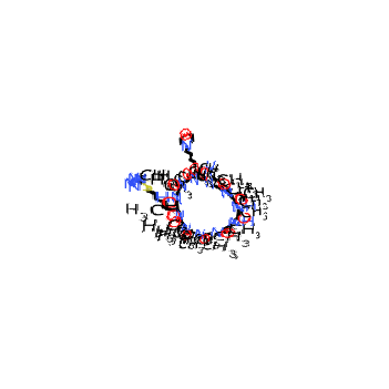 CC[C@@H]1NC(=O)[C@@H]2[C@@H]([C@H](C)CCCCSc3nnnn3C)ON2C(=O)[C@H](C(C)C)N(C)C(=O)[C@H](CC(C)C)N(C)C(=O)[C@H](CC(C)C)N(C)C(=O)[C@@H](C)NC(=O)[C@H](C)NC(=O)[C@H](CC(C)C)N(C)C(=O)[C@H](C(C)C)NC(=O)[C@H]([C@@H](C)OCCCCN2CCOCC2)N(C)C(=O)[C@@H](C)N(C)C1=O